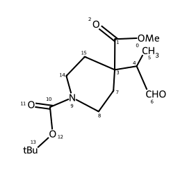 COC(=O)C1(C(C)C=O)CCN(C(=O)OC(C)(C)C)CC1